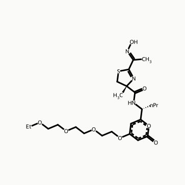 CCC[C@@H](NC(=O)[C@]1(C)CSC(/C(C)=N/O)=N1)c1cc(OCCOCCOCCOCC)cc(=O)o1